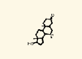 C[C@@H]1CC2CC(=O)CCC2(C)C2CCC3(C)C(O)CCC3C21